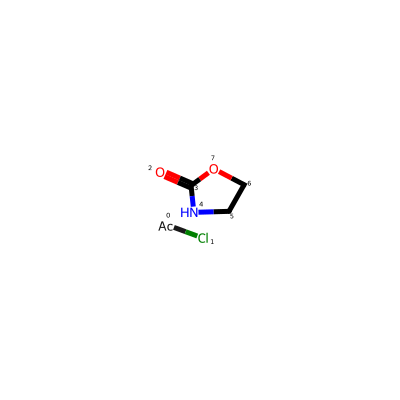 CC(=O)Cl.O=C1NCCO1